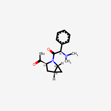 CN(C)[C@@H](C(=O)N1[C@@H]2C[C@@H]2C[C@H]1C(=O)C(C)(C)C)c1ccccc1